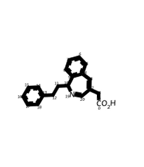 O=C(O)CC1=Cc2ccccc2C(CCc2ccccc2)N=C1